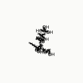 CC(C)(O)CN.CCCCCCCCc1cc(N(C)C)ccc1C(=O)O.CCCN(CCC)CCC.CCc1cc(N(C)C)ccc1C(=O)O.CN(CCO)CCO.OCCN(CCO)CCO